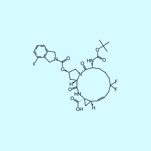 CC(C)(C)OC(=O)N[C@H]1CCCC(F)(F)C/C=C\[C@@H]2C[C@@]2(C(=O)O)NC(=O)[C@@H]2C[C@@H](OC(=O)N3Cc4cccc(F)c4C3)CN2C1=O